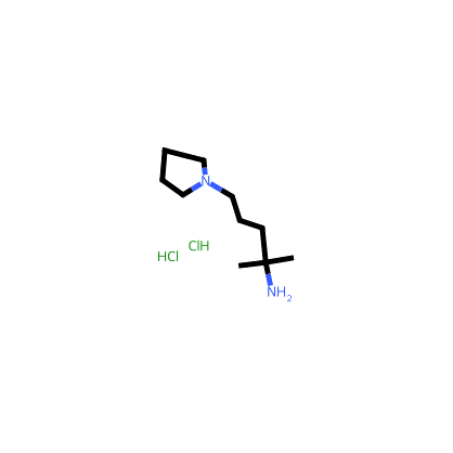 CC(C)(N)CCCN1CCCC1.Cl.Cl